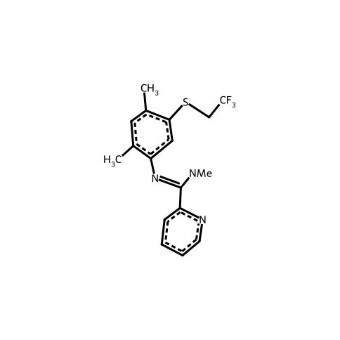 CN/C(=N\c1cc(SCC(F)(F)F)c(C)cc1C)c1ccccn1